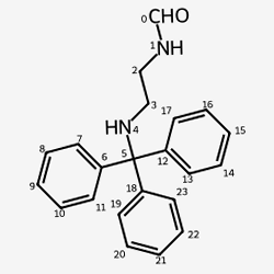 O=CNCCNC(c1ccccc1)(c1ccccc1)c1ccccc1